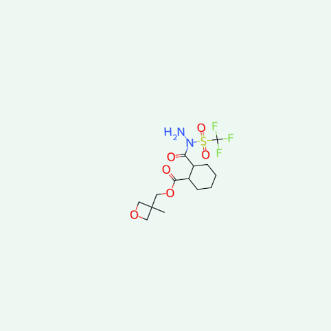 CC1(COC(=O)C2CCCCC2C(=O)N(N)S(=O)(=O)C(F)(F)F)COC1